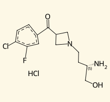 Cl.N[C@H](CO)CCN1CC(C(=O)c2ccc(Cl)c(F)c2)C1